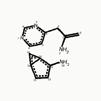 C=C(N)Cc1ccncn1.Nc1ccc2cc1-2